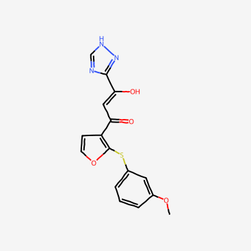 COc1cccc(Sc2occc2C(=O)C=C(O)c2nc[nH]n2)c1